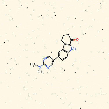 CN(C)c1ncc(-c2ccc3[nH]c4c(c3c2)CCCC4=O)cn1